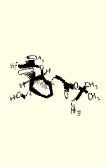 CC(C)(C)OC(=O)C[C@@H]1C[C@H](CO)[C@H]2OC(C)(C)O[C@@H]12